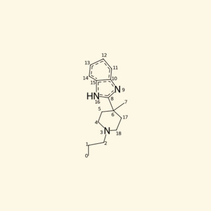 CCCN1CCC(C)(c2nc3ccccc3[nH]2)CC1